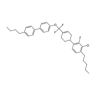 CCCCCc1ccc(C2CC=C(C(F)(F)Oc3ccc(-c4ccc(CCCC)cc4)cc3)CC2)c(F)c1Cl